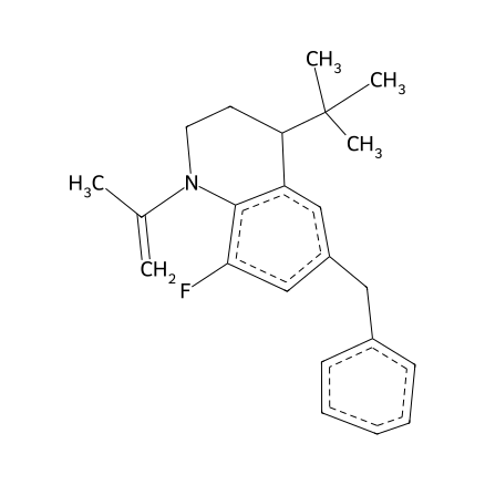 C=C(C)N1CCC(C(C)(C)C)c2cc(Cc3ccccc3)cc(F)c21